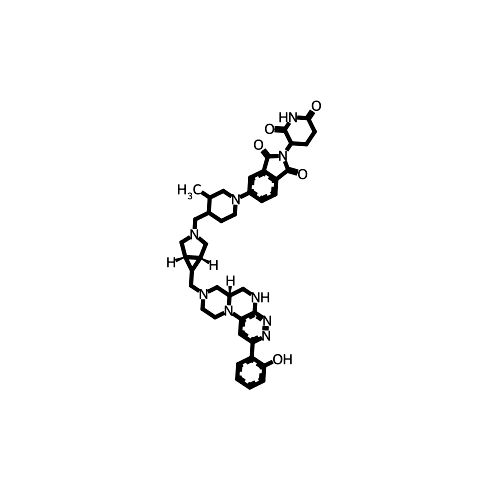 CC1CN(c2ccc3c(c2)C(=O)N(C2CCC(=O)NC2=O)C3=O)CCC1CN1C[C@@H]2C(CN3CCN4c5cc(-c6ccccc6O)nnc5NC[C@H]4C3)[C@@H]2C1